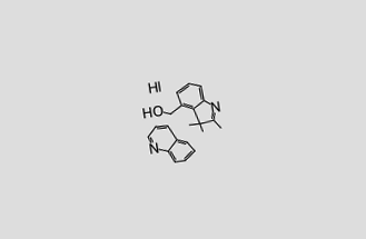 CC1=Nc2cccc(CO)c2C1(C)C.I.c1ccc2ncccc2c1